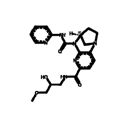 COCC(O)CNC(=O)c1ccc2c(n1)N(C(=O)Nc1ccccn1)[C@H]1CCN2C1